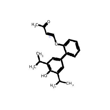 CC(=O)/C=C/Oc1ccccc1-c1cc(C(C)C)c(O)c(C(C)C)c1